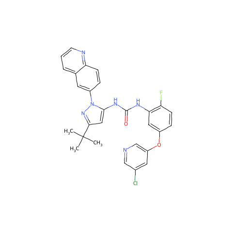 CC(C)(C)c1cc(NC(=O)Nc2cc(Oc3cncc(Cl)c3)ccc2F)n(-c2ccc3ncccc3c2)n1